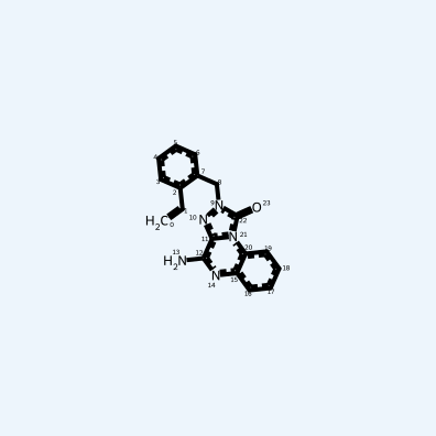 C=Cc1ccccc1Cn1nc2c(N)nc3ccccc3n2c1=O